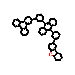 C1=CC2Oc3ccc(-c4cccc(-c5c6ccccc6c(-c6cccc(-c7ccc8c9ccccc9c9ccccc9c8c7)c6)c6ccccc56)c4)cc3C2C=C1